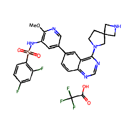 COc1ncc(-c2ccc3ncnc(N4CCC5(CNC5)C4)c3c2)cc1NS(=O)(=O)c1ccc(F)cc1F.O=C(O)C(F)(F)F